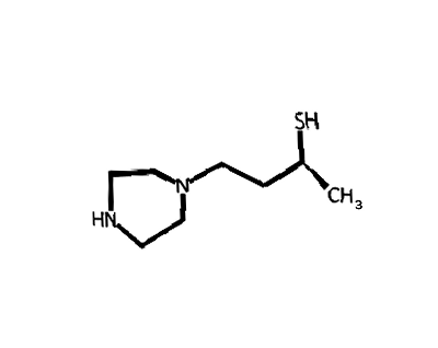 C[C@H](S)CCN1CCNCC1